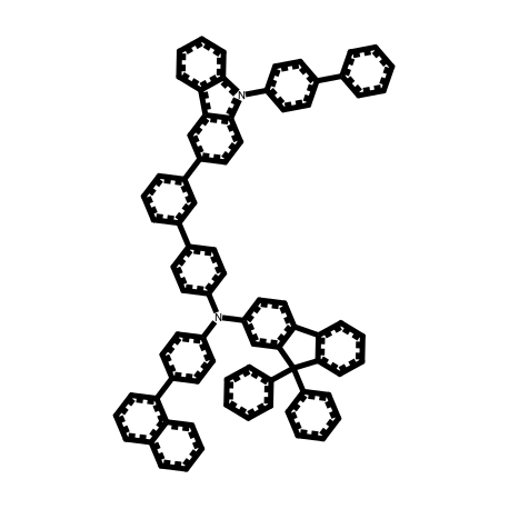 c1ccc(-c2ccc(-n3c4ccccc4c4cc(-c5cccc(-c6ccc(N(c7ccc(-c8cccc9ccccc89)cc7)c7ccc8c(c7)C(c7ccccc7)(c7ccccc7)c7ccccc7-8)cc6)c5)ccc43)cc2)cc1